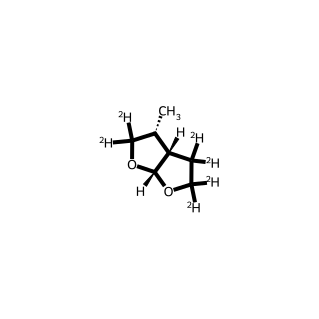 [2H]C1([2H])O[C@H]2OC([2H])([2H])C([2H])([2H])[C@H]2[C@H]1C